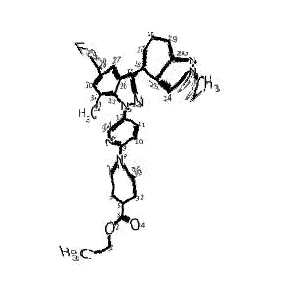 CCOC(=O)C1CCN(c2ccc(-n3nc(-c4cccc5nn(C)cc45)c4cc(F)cc(C)c43)cn2)CC1